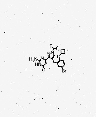 Nc1nc(-c2nn(C(F)F)cc2Cc2cc(Br)ccc2OC2CCC2)cc(=O)[nH]1